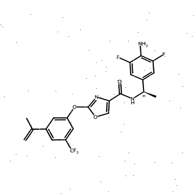 C=C(C)c1cc(Oc2nc(C(=O)N[C@H](C)c3cc(F)c(N)c(F)c3)co2)cc(C(F)(F)F)c1